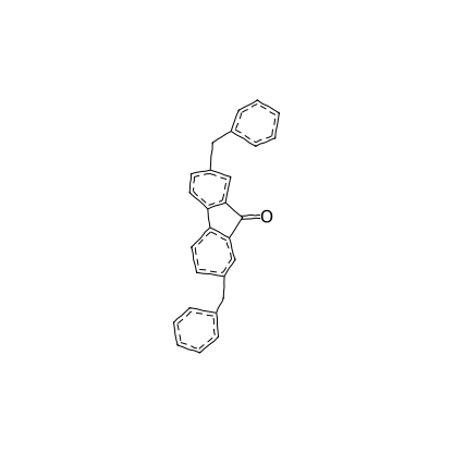 O=C1c2cc(Cc3ccccc3)ccc2-c2ccc(Cc3ccccc3)cc21